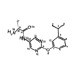 CC(C)c1cccc(Oc2ncc(NC(=O)[C@@H](C)N)cn2)c1